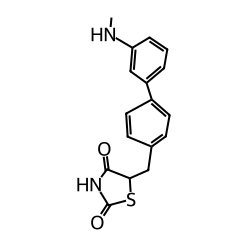 CNc1cccc(-c2ccc(CC3SC(=O)NC3=O)cc2)c1